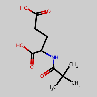 CC(C)(C)C(=O)NC(CCC(=O)O)C(=O)O